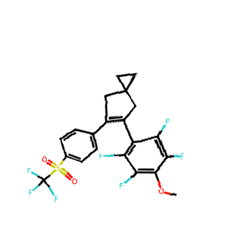 COc1c(F)c(F)c(C2=C(c3ccc(S(=O)(=O)C(F)(F)F)cc3)CC3(CC3)C2)c(F)c1F